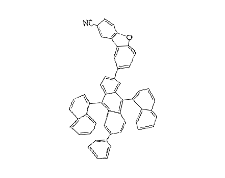 N#Cc1ccc2oc3ccc(-c4ccc5c(-c6cccc7ccccc67)c6cc(-c7ccccc7)ccc6c(-c6cccc7ccccc67)c5c4)cc3c2c1